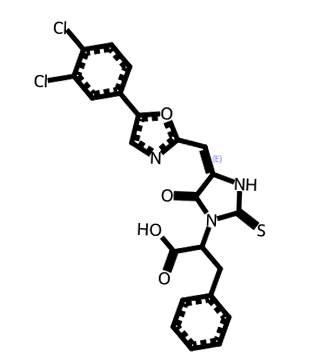 O=C(O)C(Cc1ccccc1)N1C(=O)/C(=C\c2ncc(-c3ccc(Cl)c(Cl)c3)o2)NC1=S